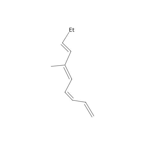 C=C\C=C/C=C(C)/C=C/CC